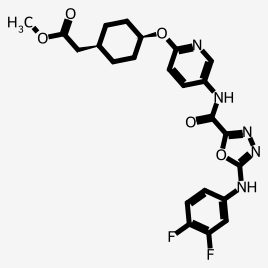 COC(=O)C[C@H]1CC[C@@H](Oc2ccc(NC(=O)c3nnc(Nc4ccc(F)c(F)c4)o3)cn2)CC1